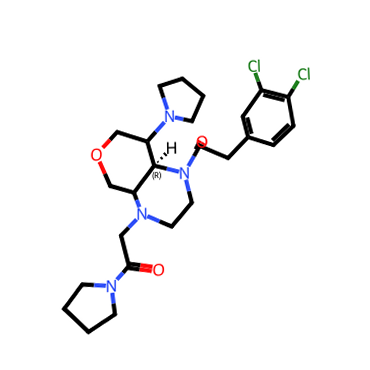 O=C(CN1CCN(C(=O)Cc2ccc(Cl)c(Cl)c2)[C@@H]2C(N3CCCC3)COCC21)N1CCCC1